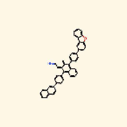 C=c1c(-c2ccc(-c3ccc4oc5ccccc5c4c3)cc2)c2ccccc2c(-c2ccc(-c3ccc4ccccc4c3)cc2)/c1=C/C=N